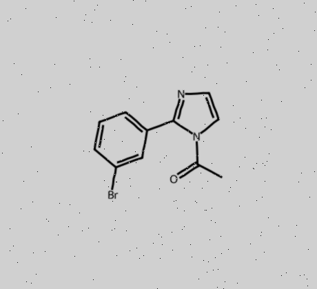 CC(=O)n1ccnc1-c1cccc(Br)c1